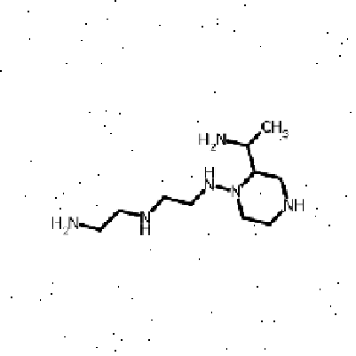 CC(N)C1CNCCN1NCCNCCN